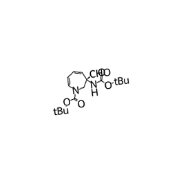 CC(C)(C)OC(=O)N[C@@]1(C=O)C=CC=CN(C(=O)OC(C)(C)C)C1